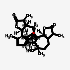 CC1=C[C@@H]2[C@@H]3C4C(=C(C)[C@@H]3[C@@]13[C@@H]2[C@@](C)(O)CC[C@H]1[C@H](C)C(=O)O[C@@H]13)[C@H]1OC(=O)C(C)C1CC[C@]4(C)O